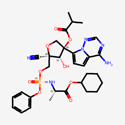 CC(C)C(=O)O[C@]1(c2ccc3c(N)ncnn23)CO[C@](C#N)(CO[P@@](=O)(N[C@@H](C)C(=O)OC2CCCCC2)Oc2ccccc2)[C@H]1O